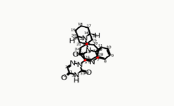 O=c1cnn(-c2nc3ccccc3n([C@@H]3C[C@H]4CCC[C@@H](C3)N4C3CCCCCCC3)c2=O)c(=O)[nH]1